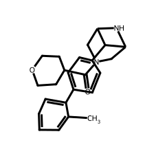 Cc1ccccc1-c1ccc(C2C3CN(C(=O)C4CCOCC4)CC2N3)cc1